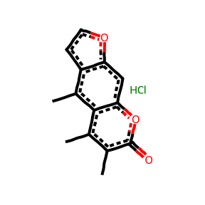 Cc1c(C)c2c(C)c3ccoc3cc2oc1=O.Cl